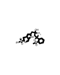 CC(C)S(=O)(=O)c1cc2cc(CC(O)(CC(C)(C)c3ccccc3S(C)(=O)=O)C(F)(F)F)[nH]c2cn1